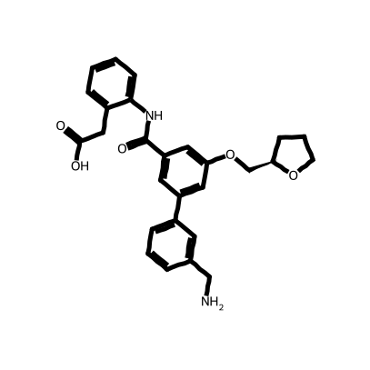 NCc1cccc(-c2cc(OC[C@H]3CCCO3)cc(C(=O)Nc3ccccc3CC(=O)O)c2)c1